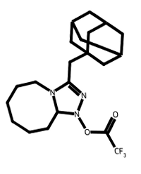 O=C(ON1N=C(CC23CC4CC(CC(C4)C2)C3)N2CCCCCCC12)C(F)(F)F